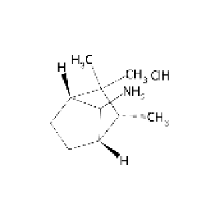 C[C@@H]1[C@@H]2CC[C@@H](C2N)C1(C)C.Cl